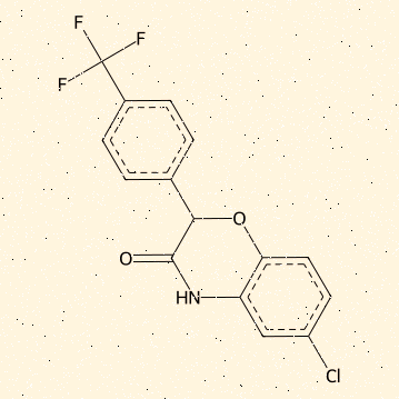 O=C1Nc2cc(Cl)ccc2OC1c1ccc(C(F)(F)F)cc1